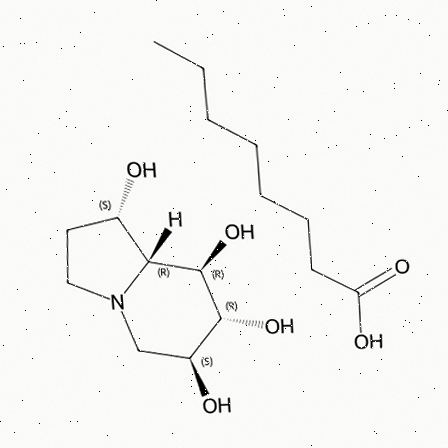 CCCCCCCC(=O)O.O[C@H]1[C@H](O)[C@@H](O)CN2CC[C@H](O)[C@H]12